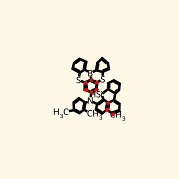 Cc1ccc(N(c2cc3c4c(c2)Sc2ccccc2B4c2ccccc2S3)c2ccc(C)cc2[SiH](c2ccccc2)c2ccccc2-c2ccccc2)c(C)c1